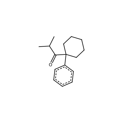 CC(C)C(=O)C1(c2ccccc2)CCCCC1